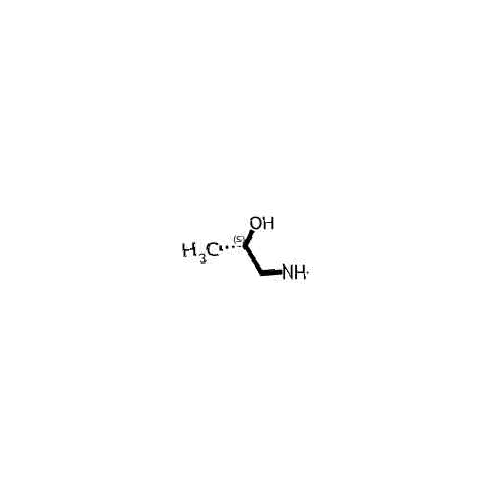 C[C@H](O)C[NH]